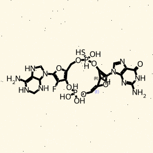 NC1=C2NCN(c3oc4c(c3F)O[PH](O)(O)O/C=C3/OC(n5cnc6c(=O)[nH]c(N)nc65)=C(O[PH](O)(S)OC4)[C@@H]3F)C2NCN1